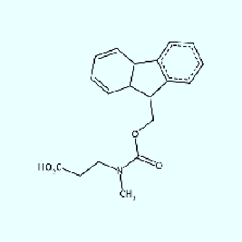 CN(CCC(=O)O)C(=O)OCC1c2ccccc2C2C=CC=CC21